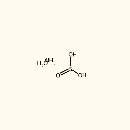 O.O=S(O)O.[AlH3]